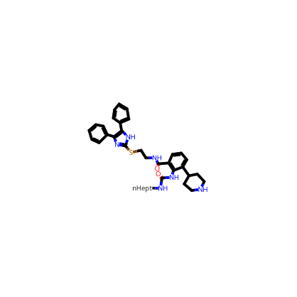 CCCCCCCNC(=O)Nc1c(C(=O)NCCSc2nc(-c3ccccc3)c(-c3ccccc3)[nH]2)cccc1C1CCNCC1